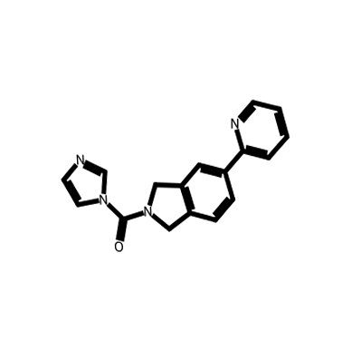 O=C(N1Cc2ccc(-c3ccccn3)cc2C1)n1ccnc1